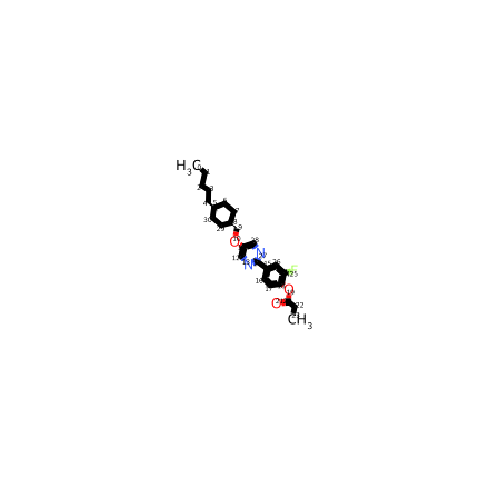 CCCCC[C@H]1CC[C@H](COc2cnc(-c3ccc(OC(=O)CC)c(F)c3)nc2)CC1